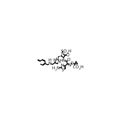 C=C/C=C\C(=C/C)CNCc1cnn(C[C@@H]2[C@H](NC(=O)/C(=N\OC3(C(=O)O)CC3)c3csc(N)n3)C(=O)N2S(=O)(=O)O)n1